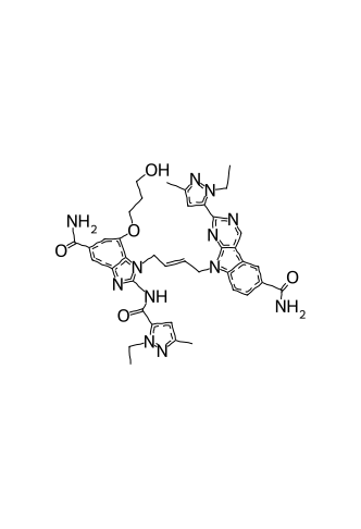 CCn1nc(C)cc1C(=O)Nc1nc2cc(C(N)=O)cc(OCCCO)c2n1CC=CCn1c2ccc(C(N)=O)cc2c2cnc(-c3cc(C)nn3CC)nc21